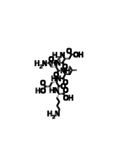 CC(C)C[C@H](NC(=O)[C@H](CC(N)=O)NC(=O)[C@@H](N)CC(=O)O)C(=O)N[C@@H](CCC(=O)O)C(=O)N[C@@H](CCCCN)C(=O)O